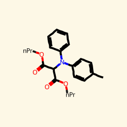 CCCOC(=O)C(C(=O)OCCC)N(c1ccccc1)c1ccc(C)cc1